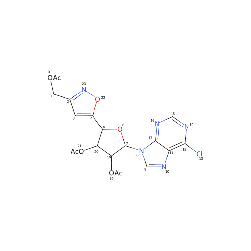 CC(=O)OCc1cc(C2OC(n3cnc4c(Cl)ncnc43)C(OC(C)=O)C2OC(C)=O)on1